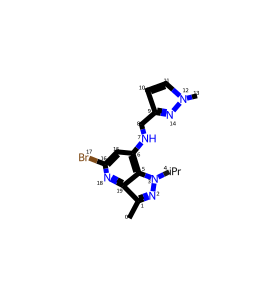 Cc1nn(C(C)C)c2c(NCc3ccn(C)n3)cc(Br)nc12